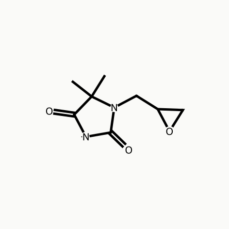 CC1(C)C(=O)[N]C(=O)N1CC1CO1